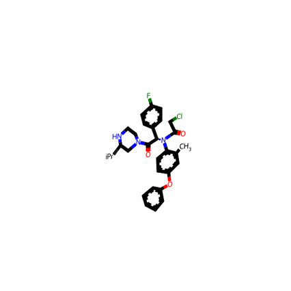 Cc1cc(Oc2ccccc2)ccc1N(C(=O)CCl)[C@H](C(=O)N1CCNC(C(C)C)C1)c1ccc(F)cc1